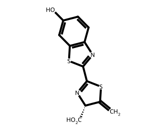 C=C1SC(c2nc3ccc(O)cc3s2)=N[C@H]1C(=O)O